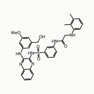 COc1cc(CO)cc(Nc2nc3ccccc3nc2NS(=O)(=O)c2cccc(NC(=O)CNc3cccc(C)c3C)c2)c1